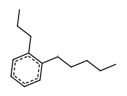 CCCC[CH]c1ccccc1CCC